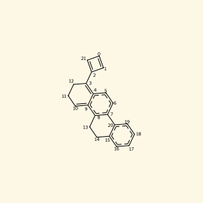 C1=CC(C2=c3ccc4c(c3=CCC2)CCc2ccccc2-4)=C1